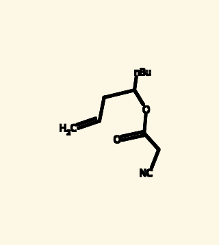 C=CCC(CCCC)OC(=O)CC#N